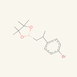 CC(CB1OC(C)(C)C(C)(C)O1)c1ccc(Br)cc1